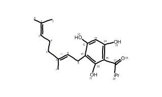 CC(C)=CCC/C(C)=C/Cc1c(O)cc(O)c(C(=O)C(C)C)c1O